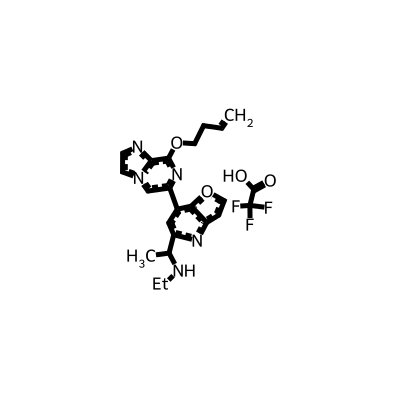 C=CCCOc1nc(-c2cc(C(C)NCC)nc3ccoc23)cn2ccnc12.O=C(O)C(F)(F)F